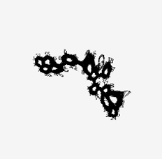 c1cc(-c2ccc3c(c2)cc(-c2cccc(-c4ccc5ccc6cccc7ccc4c5c67)c2)c2c4ccccc4oc32)cc(-c2ccc3ccc4cccc5ccc2c3c45)c1